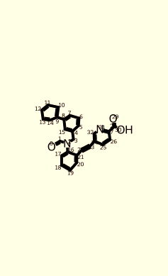 O=CN(Cc1cccc(-c2ccccc2)c1)c1ccccc1C#Cc1ccc(C(=O)O)nc1